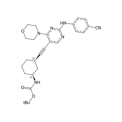 CC(C)(C)OC(=O)N[C@H]1CCC[C@@H](C#Cc2cnc(Nc3ccc(C#N)cc3)nc2N2CCOCC2)C1